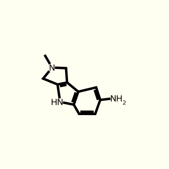 CN1Cc2[nH]c3ccc(N)cc3c2C1